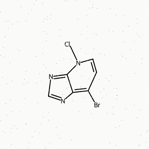 Cln1ccc(Br)c2ncnc1-2